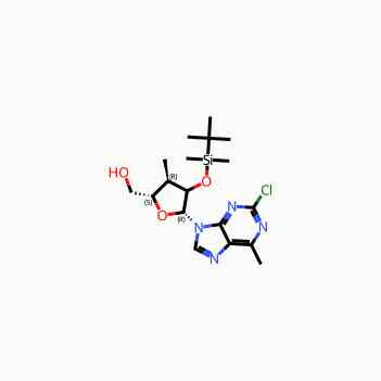 Cc1nc(Cl)nc2c1ncn2[C@@H]1O[C@H](CO)[C@@H](C)C1O[Si](C)(C)C(C)(C)C